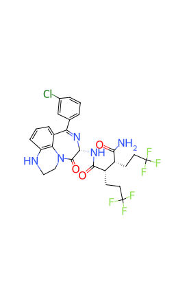 NC(=O)[C@H](CCC(F)(F)F)[C@H](CCC(F)(F)F)C(=O)N[C@H]1N=C(c2cccc(Cl)c2)c2cccc3c2N(CCN3)C1=O